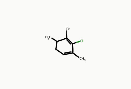 CC1=CCC(C)C(C(C)C)=C1Cl